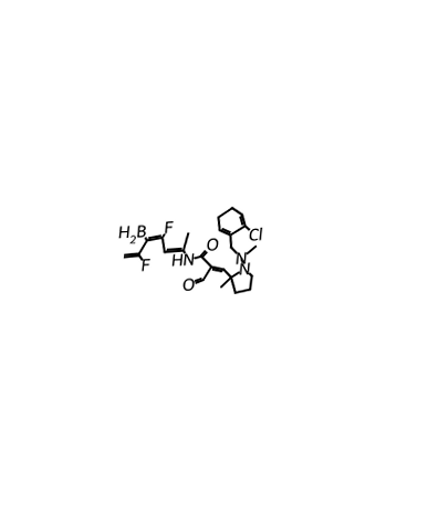 B/C(C(=C)F)=C(F)/C=C(\C)NC(=O)/C(C=O)=C/C1(C)CCCN1N(C)CC1=CCCC=C1Cl